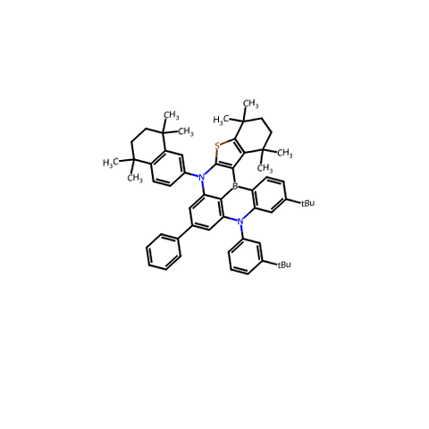 CC(C)(C)c1cccc(N2c3cc(C(C)(C)C)ccc3B3c4c2cc(-c2ccccc2)cc4N(c2ccc4c(c2)C(C)(C)CCC4(C)C)c2sc4c(c23)C(C)(C)CCC4(C)C)c1